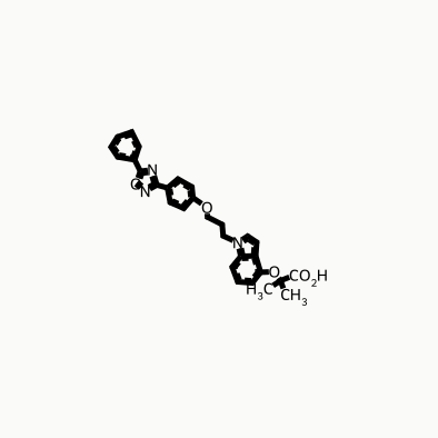 CC(C)(Oc1cccc2c1ccn2CCCOc1ccc(-c2noc(-c3ccccc3)n2)cc1)C(=O)O